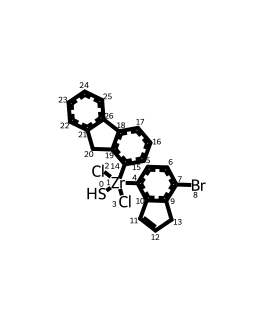 [SH][Zr]([Cl])([Cl])([c]1ccc(Br)c2c1C=CC2)[c]1cccc2c1Cc1ccccc1-2